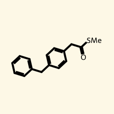 CSC(=O)Cc1ccc(Cc2ccccc2)cc1